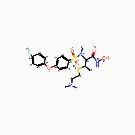 CC(SCCN(C)C)C(C(=O)NO)N(C)S(=O)(=O)c1ccc(Oc2ccc(F)cc2)cc1